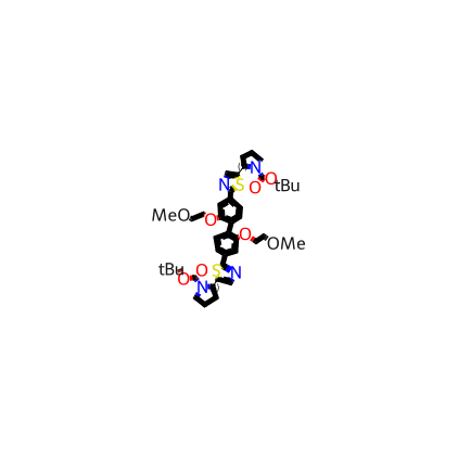 COCCOc1cc(-c2ncc([C@@H]3CCCN3C(=O)OC(C)(C)C)s2)ccc1-c1ccc(-c2ncc([C@@H]3CCCN3C(=O)OC(C)(C)C)s2)cc1OCCOC